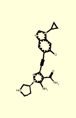 NC(=O)c1c(C#Cc2cc3ncn(C4CC4)c3cc2Cl)nn([C@H]2CCNC2)c1N